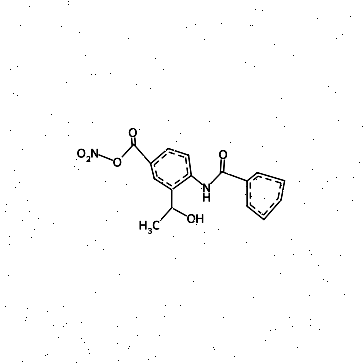 CC(O)c1cc(C(=O)O[N+](=O)[O-])ccc1NC(=O)c1ccccc1